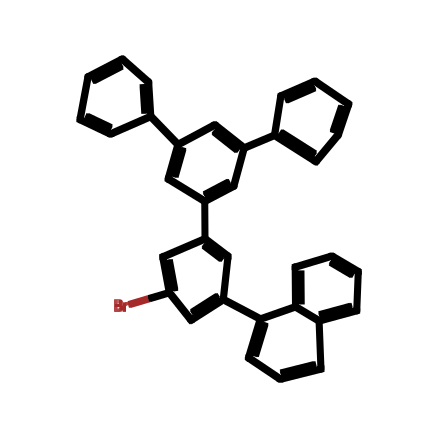 Brc1cc(-c2cc(-c3ccccc3)cc(-c3ccccc3)c2)cc(-c2cccc3ccccc23)c1